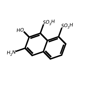 Nc1cc2cccc(S(=O)(=O)O)c2c(S(=O)(=O)O)c1O